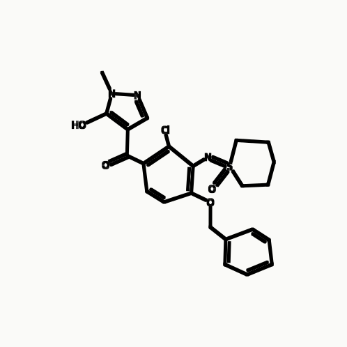 Cn1ncc(C(=O)c2ccc(OCc3ccccc3)c(N=S3(=O)CCCCC3)c2Cl)c1O